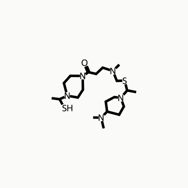 CC(S)N1CCN(C(=O)CCN(C)CSC(C)N2CCC(N(C)C)CC2)CC1